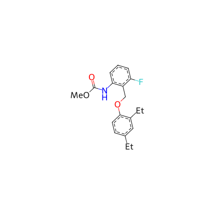 CCc1ccc(OCc2c(F)cccc2NC(=O)OC)c(CC)c1